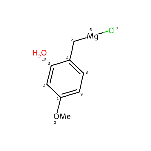 COc1ccc([CH2][Mg][Cl])cc1.O